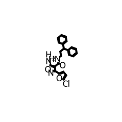 Nc1onc(-c2ccc(Cl)o2)c1C(=O)NCCC(c1ccccc1)c1ccccc1